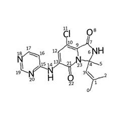 CC(C)=CC1(C)NC(=O)c2c(Cl)cc(Nc3ccncn3)c(=O)n21